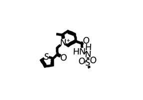 Cc1ccc(C(=O)NNS(C)(=O)=O)c[n+]1CC(=O)c1cccs1